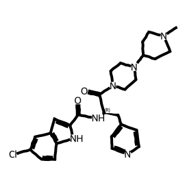 CN1CCC(N2CCN(C(=O)[C@@H](Cc3ccncc3)NC(=O)c3cc4cc(Cl)ccc4[nH]3)CC2)CC1